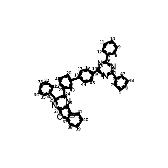 c1ccc(-c2nc(-c3ccccc3)nc(-c3ccc(-c4cccc(-c5nc6c(nc5-c5ccccc5)oc5ccccc56)c4)cc3)n2)cc1